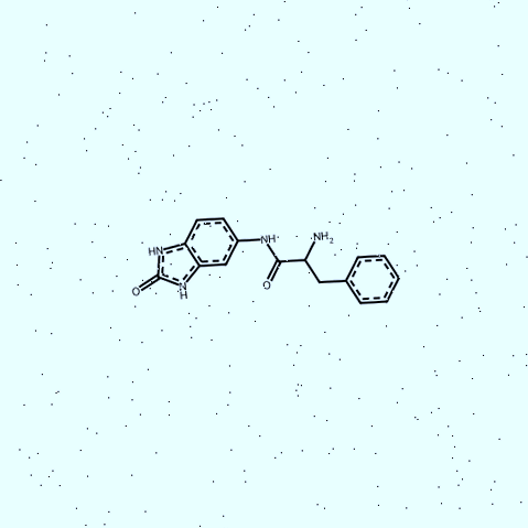 NC(Cc1ccccc1)C(=O)Nc1ccc2[nH]c(=O)[nH]c2c1